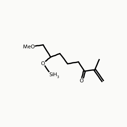 C=C(C)C(=O)CCCC(COC)O[SiH3]